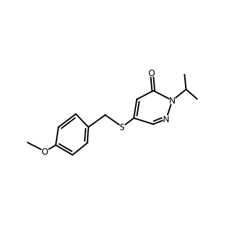 COc1ccc(CSc2cnn(C(C)C)c(=O)c2)cc1